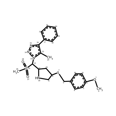 COc1ccc(CSC2CNC(C(n3nnc(-c4ccccc4)c3C)S(C)(=O)=O)C2)cc1